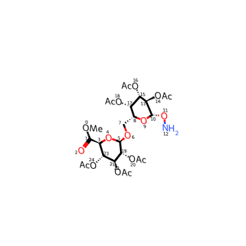 COC(=O)[C@H]1O[C@@H](OC[C@H]2O[C@@H](ON)[C@H](OC(C)=O)[C@@H](OC(C)=O)[C@H]2OC(C)=O)[C@H](OC(C)=O)[C@@H](OC(C)=O)[C@@H]1OC(C)=O